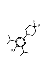 CC(C)c1cc(N2CCC(F)(F)CC2)cc(C(C)C)c1O